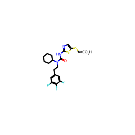 O=C(O)CSc1cnc(NC(=O)N(CCc2cc(F)c(F)c(F)c2)C2CCCCC2)s1